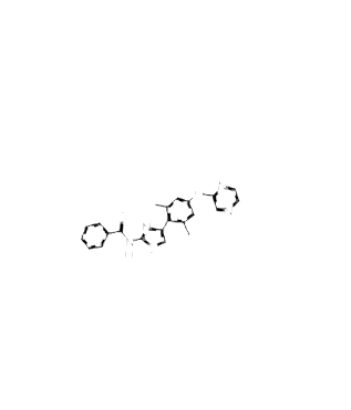 Cc1cc(Oc2cnccn2)cc(C)c1-c1csc(NC(=O)c2ccccc2)n1